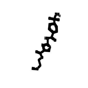 COCCOC(=O)c1csc(NC(=O)c2ccc(S(N)(=O)=O)cc2)n1